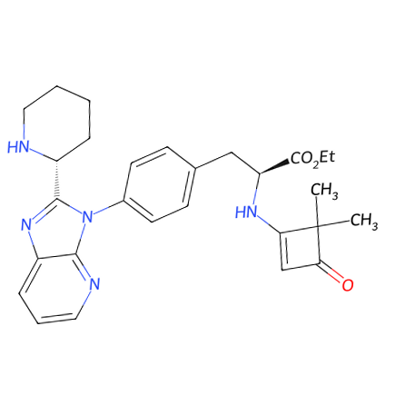 CCOC(=O)[C@H](Cc1ccc(-n2c([C@H]3CCCCN3)nc3cccnc32)cc1)NC1=CC(=O)C1(C)C